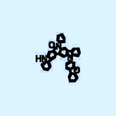 O=c1c2cc3[nH]c4ccccc4c3cc2c2cc3c(cc2n1-c1ccccc1)c1ccccc1n3-c1ccc2c(c1)oc1ccccc12